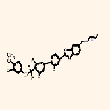 C/C=C/CCc1ccc2nc(-c3ccc(-c4cc(F)c(C(F)(F)Oc5ccc(OC(F)(F)F)c(F)c5)c(F)c4)c(F)c3)sc2c1